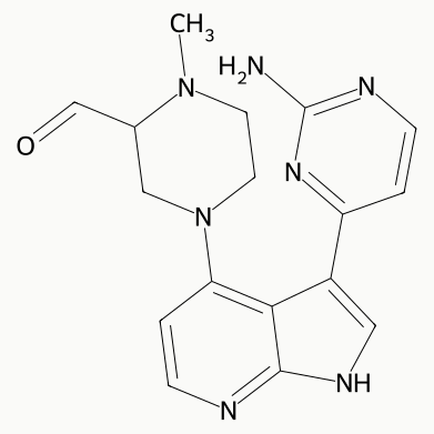 CN1CCN(c2ccnc3[nH]cc(-c4ccnc(N)n4)c23)CC1C=O